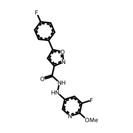 COc1ncc(NNC(=O)c2cc(-c3ccc(F)cc3)on2)cc1F